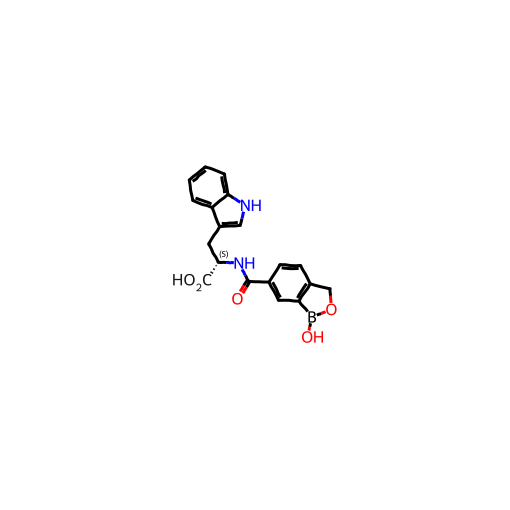 O=C(N[C@@H](Cc1c[nH]c2ccccc12)C(=O)O)c1ccc2c(c1)B(O)OC2